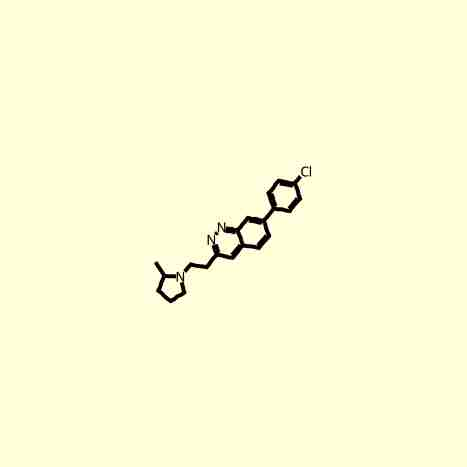 CC1CCCN1CCc1cc2ccc(-c3ccc(Cl)cc3)cc2nn1